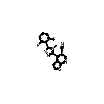 Cn1c(-c2c(F)cccc2F)nnc1-c1c(C#N)cnc2sccc12